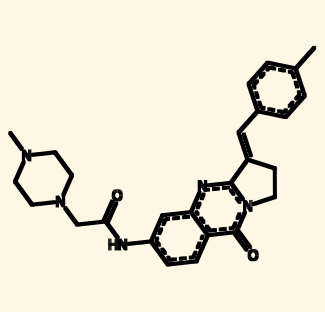 Cc1ccc(C=C2CCn3c2nc2cc(NC(=O)CN4CCN(C)CC4)ccc2c3=O)cc1